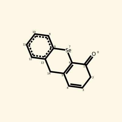 O=C1CC=CC2=C1[Se]c1ccccc1C2